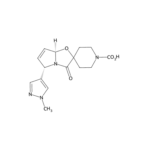 Cn1cc([C@@H]2C=C[C@H]3OC4(CCN(C(=O)O)CC4)C(=O)N32)cn1